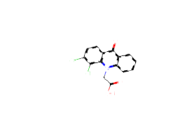 O=C(O)Cn1c2ccccc2c(=O)c2ccc(Cl)c(Cl)c21